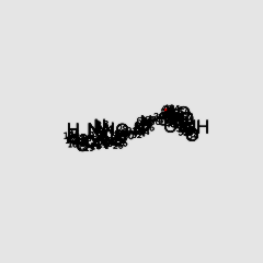 Nc1ncnc2c1c(-c1ccc(Oc3ccccc3)cc1)nn2[C@@H]1CCCN(C(=O)/C=C/CN2CCN(CCCSc3cccc4c3C(=O)N(C3CCC(=O)NC3=O)C4=O)CC2)C1